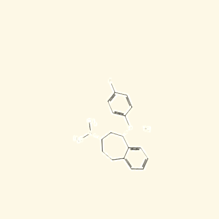 CN(C)[C@H]1CCc2ccccc2[C@@H](Oc2ccc(F)cc2)C1.Cl